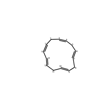 C1=C\C/C=C\C/C=C/C/C=C/C/C=C/1